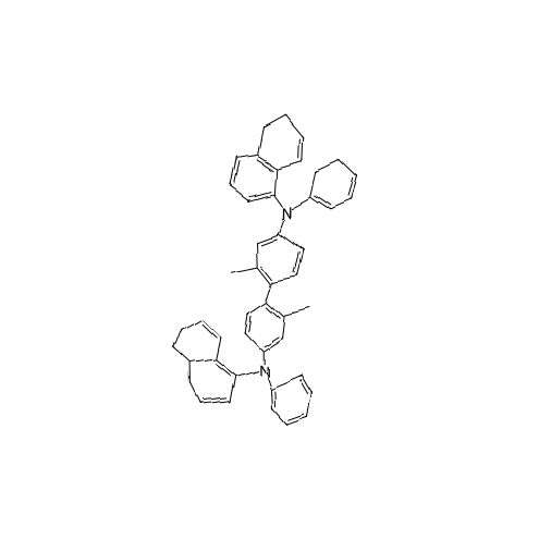 Cc1cc(N(C2=C3C=CCCC3CC=C2)c2ccccc2)ccc1-c1ccc(N(C2=CC=CCC2)c2cccc3c2C=CCC3)cc1C